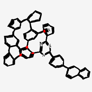 N#Cc1cc(-c2ccccc2-c2nc(-c3ccccc3)nc(-c3ccc(-c4ccc5ccccc5c4)cc3)n2)ccc1-c1ccccc1-c1cccc(-c2ccc3c4ccccc4c4ccccc4c3c2)c1